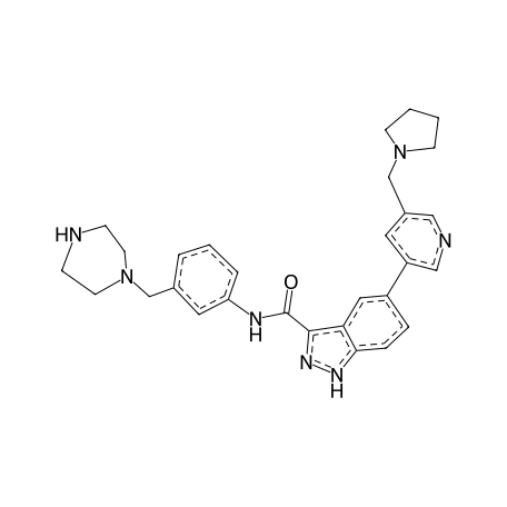 O=C(Nc1cccc(CN2CCNCC2)c1)c1n[nH]c2ccc(-c3cncc(CN4CCCC4)c3)cc12